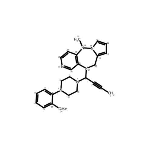 CC#CC(N1CCN(c2ccccc2OC)CC1)N1Cc2cccn2N(C)c2ccncc21